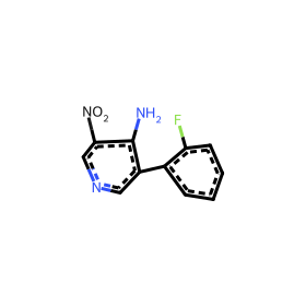 Nc1c(-c2ccccc2F)cncc1[N+](=O)[O-]